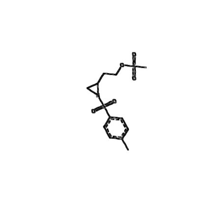 Cc1ccc(S(=O)(=O)N2CC2CCOS(C)(=O)=O)cc1